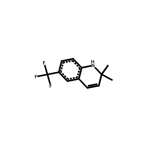 CC1(C)C=Cc2cc(C(F)(F)F)ccc2N1